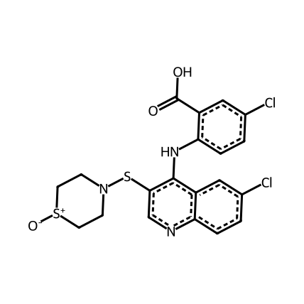 O=C(O)c1cc(Cl)ccc1Nc1c(SN2CC[S+]([O-])CC2)cnc2ccc(Cl)cc12